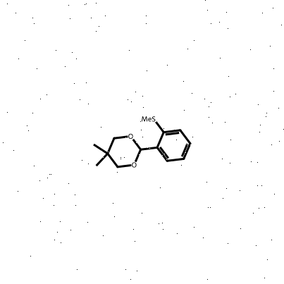 CSc1ccccc1C1OCC(C)(C)CO1